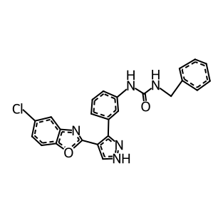 O=C(NCc1ccccc1)Nc1cccc(-c2n[nH]cc2-c2nc3cc(Cl)ccc3o2)c1